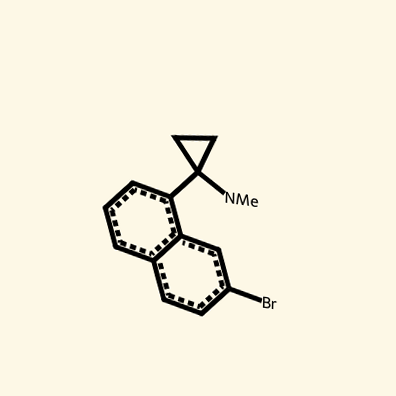 CNC1(c2cccc3ccc(Br)cc23)CC1